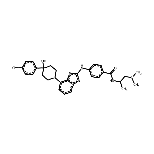 CC(CN(C)C)NC(=O)c1ccc(Nc2nc3c(N4CCC(O)(c5ccc(Cl)cc5)CC4)cccn3n2)cc1